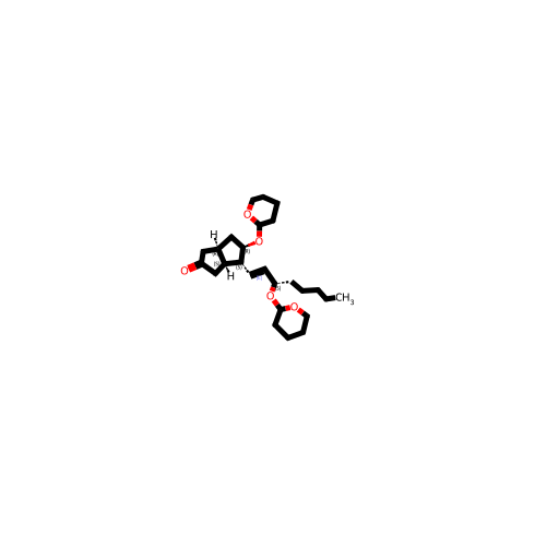 CCCCC[C@@H](/C=C/[C@@H]1[C@H]2CC(=O)C[C@H]2C[C@H]1OC1CCCCO1)OC1CCCCO1